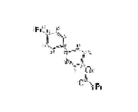 CC(C)C(=O)Oc1ccc(-c2ccc(C(C)C)cc2)cc1